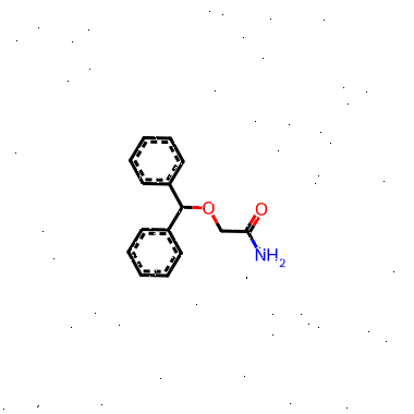 NC(=O)COC(c1ccccc1)c1ccccc1